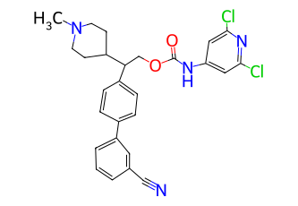 CN1CCC(C(COC(=O)Nc2cc(Cl)nc(Cl)c2)c2ccc(-c3cccc(C#N)c3)cc2)CC1